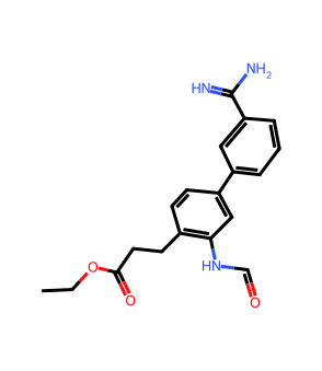 CCOC(=O)CCc1ccc(-c2cccc(C(=N)N)c2)cc1NC=O